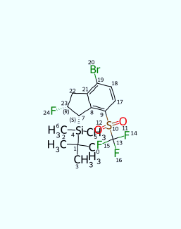 CC(C)(C)[Si](C)(C)[C@H]1c2c(S(=O)(=O)C(F)(F)F)ccc(Br)c2C[C@H]1F